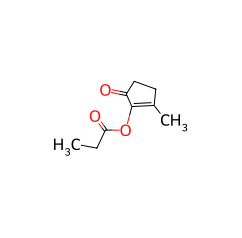 CCC(=O)OC1=C(C)CCC1=O